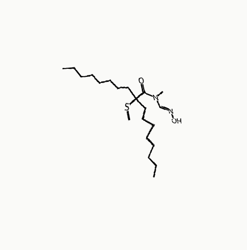 CCCCCCCCC(CCCCCCCC)(SC)C(=O)N(C)C=NO